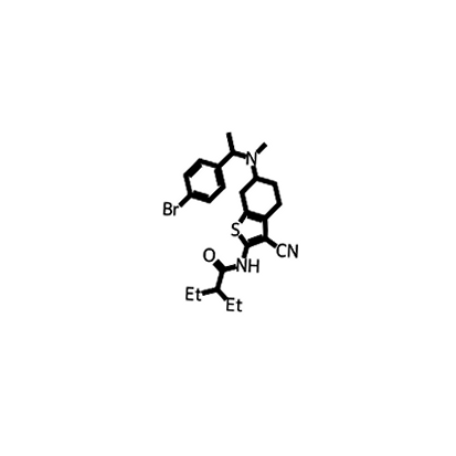 CCC(CC)C(=O)Nc1sc2c(c1C#N)CCC(N(C)C(C)c1ccc(Br)cc1)C2